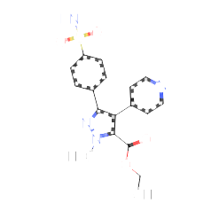 CCOC(=O)c1c(-c2ccncc2)c(-c2ccc(S(N)(=O)=O)cc2)nn1C